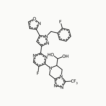 OC(O)C1Cn2c(nnc2C(F)(F)F)CN1c1nc(-c2cc(-c3ccon3)n(Cc3ccccc3F)n2)ncc1F